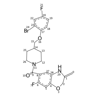 C=C1COc2cc(F)c(C(=O)N3CCC(COc4ccc(F)cc4Br)CC3)cc2N1